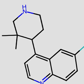 CC1(C)CNCCC1c1ccnc2ccc(F)cc12